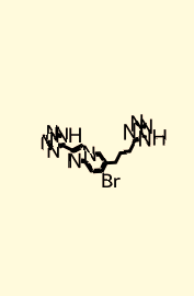 Brc1cc2nc(-c3nnn[nH]3)cn2cc1CCCc1nnn[nH]1